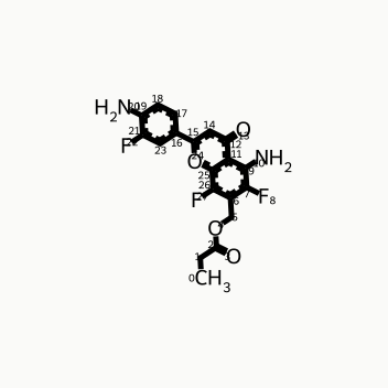 CCC(=O)OCc1c(F)c(N)c2c(=O)cc(-c3ccc(N)c(F)c3)oc2c1F